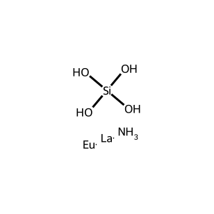 N.O[Si](O)(O)O.[Eu].[La]